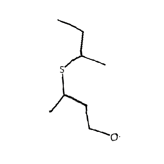 CCC(C)SC(C)CC[O]